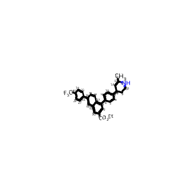 CCOC(=O)c1cc(-c2ccc(C3CCNC(C)C3)cc2)c2ccc(-c3ccc(C(F)(F)F)cc3)cc2c1